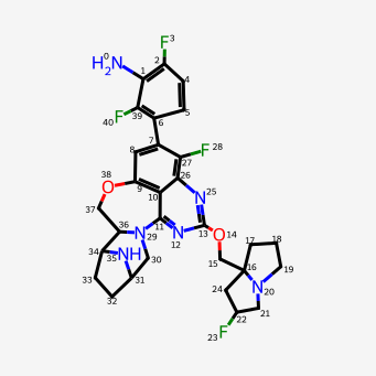 Nc1c(F)ccc(-c2cc3c4c(nc(OCC56CCCN5CC(F)C6)nc4c2F)N2CC4CCC(N4)C2CO3)c1F